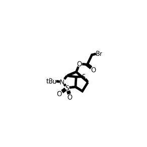 CC(C)(C)N1C2C(OC(=O)CBr)C3CC(C2S3)S1(=O)=O